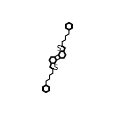 c1ccc(CCCCc2cc3ccc4c(c3s2)-c2ccc3cc(CCCCc5ccccc5)sc3c2-4)cc1